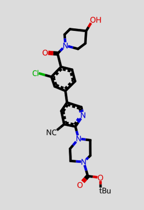 CC(C)(C)OC(=O)N1CCN(c2ncc(-c3ccc(C(=O)N4CCC(O)CC4)c(Cl)c3)cc2C#N)CC1